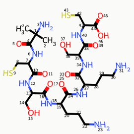 CC(C)(N)C(=O)NC(CS)C(=O)NC(CO)C(=O)NC(CCCN)C(=O)NC(CCCN)C(=O)NC(CO)C(=O)NC(CS)C(=O)O